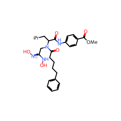 COC(=O)c1ccc(NC(=O)C(CC(C)C)N(C/C(=N\O)NO)C(=O)CCCCc2ccccc2)cc1